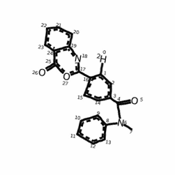 [2H]c1cc(C(=O)N(C)c2ccccc2)ccc1-c1nc2ccccc2c(=O)o1